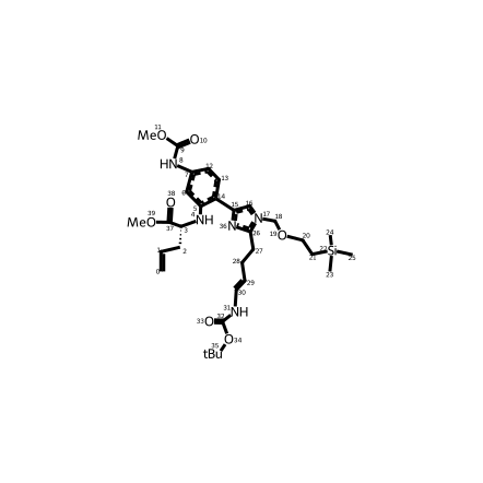 C=CC[C@@H](Nc1cc(NC(=O)OC)ccc1-c1cn(COCC[Si](C)(C)C)c(CCC=CNC(=O)OC(C)(C)C)n1)C(=O)OC